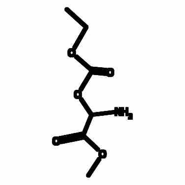 CCOC(=O)OC(N)C(=O)OC